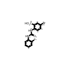 O=C(Nc1ccccc1F)Nc1ccc(Br)cc1C(=O)O